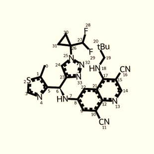 Cc1scnc1[C@H](Nc1cc(C#N)c2ncc(C#N)c(NCC(C)(C)C)c2c1)c1cn(C2(C(F)F)CC2)nn1